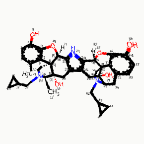 Cc1ccc(O)c2c1[C@]13CCN(CC4CC4)[C@H](C)[C@]1(O)Cc1c([nH]c4c1C[C@@]1(O)C5Cc6ccc(O)c7c6[C@@]1(CCN5CC1CC1)[C@H]4O7)[C@@H]3O2